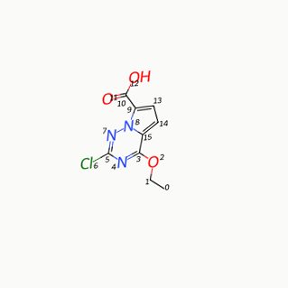 CCOc1nc(Cl)nn2c(C(=O)O)ccc12